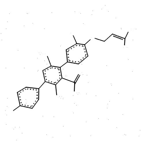 COC(=O)c1c(OC)c(-c2ccc(O)cc2)cc(OC)c1-c1ccc(OCC=C(C)C)c(O)c1